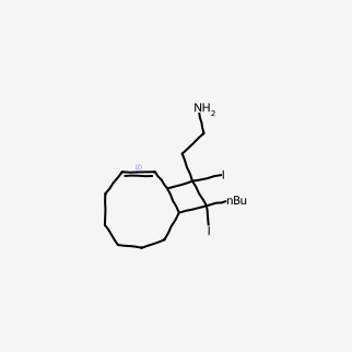 CCCCC1(I)C2CCCCC/C=C\C2C1(I)CCN